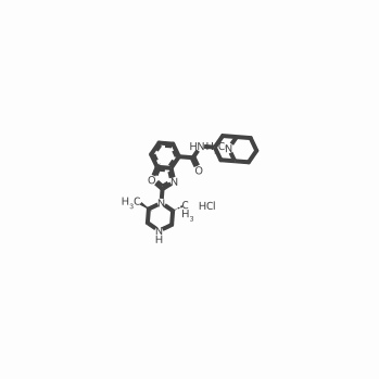 C[C@@H]1CNC[C@@H](C)N1c1nc2c(C(=O)NC3CC4CCCC(C3)N4C)cccc2o1.Cl